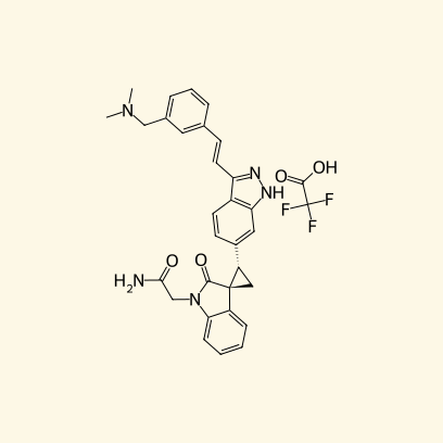 CN(C)Cc1cccc(C=Cc2n[nH]c3cc([C@@H]4C[C@@]45C(=O)N(CC(N)=O)c4ccccc45)ccc23)c1.O=C(O)C(F)(F)F